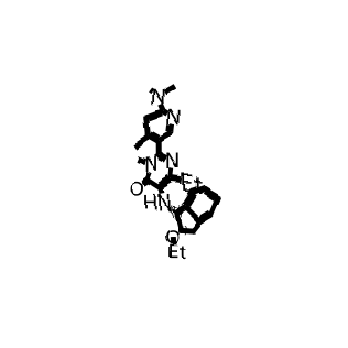 CCO[C@H]1Cc2ccccc2[C@H]1Nc1c(CC)nc(-c2cnc(N(C)C)cc2C)n(C)c1=O